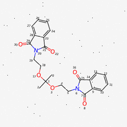 CC(C)(OCCN1C(=O)c2ccccc2C1=O)OCCN1C(=O)c2ccccc2C1=O